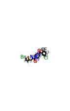 NC(Cc1ccc(Br)s1)C(=O)N1CCN(C(=O)c2cc(Cl)ccc2C(F)(F)F)CC1